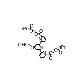 CCCC(=O)OCOC(=O)c1cccc(-c2cc(OCC=O)cc(-c3cccc(C(=O)OCOC(=O)CCC)n3)n2)n1